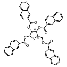 O=C(OC[C@H]1SC(OC(=O)c2ccc3ccccc3c2)[C@H](OC(=O)c2ccc3ccccc3c2)[C@H]1OC(=O)c1ccc2ccccc2c1)c1ccc2ccccc2c1